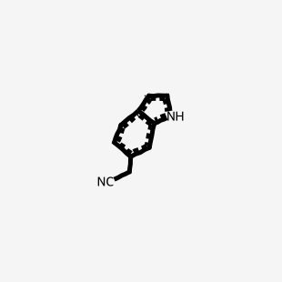 N#CCc1ccc2[c]c[nH]c2c1